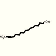 CCCCCCCCCCCCCCCCCCCCCCCC#CC(=O)O